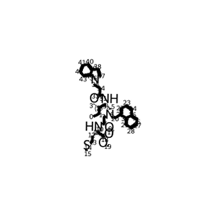 CC[C@H](C)[C@@H](CN(CC(=O)N[C@@H](CCSC)C(=O)OC)Cc1cccc2ccccc12)NC(=O)CCn1ccc2ccccc21